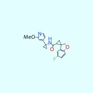 COc1cc(C2(NC(=O)C3CC34COc3ccc(F)cc34)CC2)ccn1